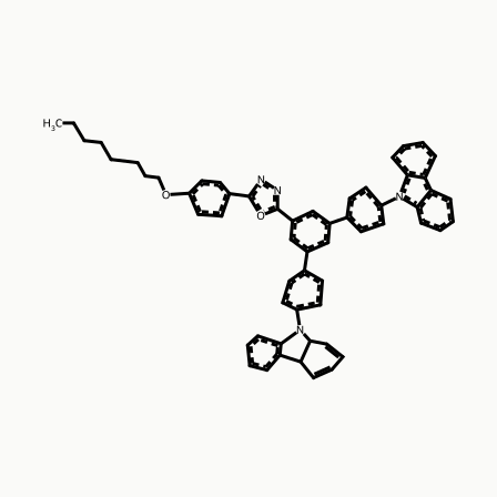 CCCCCCCCOc1ccc(-c2nnc(-c3cc(-c4ccc(N5c6ccccc6C6C=CC=CC65)cc4)cc(-c4ccc(-n5c6ccccc6c6ccccc65)cc4)c3)o2)cc1